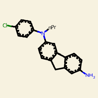 CCCN(c1ccc(Cl)cc1)c1ccc2c(c1)-c1ccc(N)cc1C2